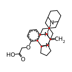 C=C(N1CCCC1)N(c1cccc(OCC(=O)O)c1)C1CC2CCCC(C1)N2C1CC2CCCC(C2)C1